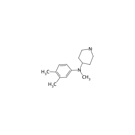 Cc1ccc(N(C)C2CC[N]CC2)cc1C